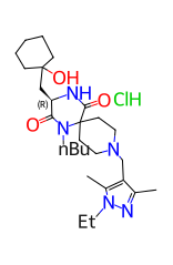 CCCCN1C(=O)[C@@H](CC2(O)CCCCC2)NC(=O)C12CCN(Cc1c(C)nn(CC)c1C)CC2.Cl